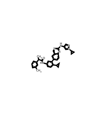 Cc1cccc(C(C)C(=O)Nc2ccc(C3CC3)c(-c3ccc4nc(Nc5cnn(C6CC6)c5)ncc4c3)c2)c1